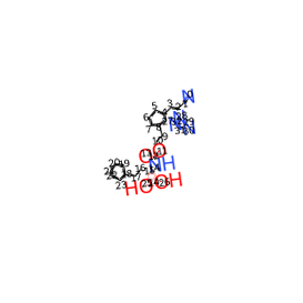 N#CC(=Cc1cccc(CCOC(=O)N[C@@H](CCc2ccccc2)B(O)O)c1)n1cncn1